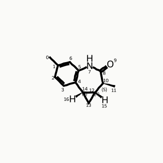 Cc1ccc2c(c1)NC(=O)[C@@H](C)[C@@H]1C[C@H]21